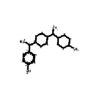 CC1CCC(C(C)C2CCC(C(C)c3ccc(O)cc3)CC2)CC1